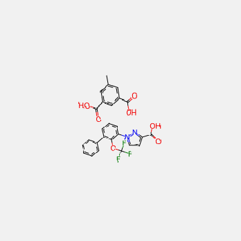 Cc1cc(C(=O)O)cc(C(=O)O)c1.O=C(O)c1ccn(-c2cccc(-c3ccccc3)c2OC(F)(F)F)n1